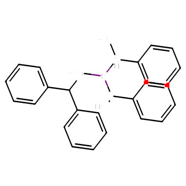 C[SiH](c1ccccc1)P([SiH2]C(c1ccccc1)c1ccccc1)[SiH](C)c1ccccc1